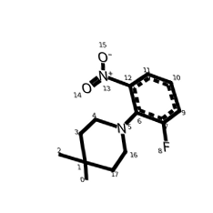 CC1(C)CCN(c2c(F)cccc2[N+](=O)[O-])CC1